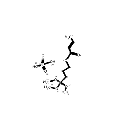 CC=CC(=O)OCCC[Si](OC)(OC)OC.O=S(=O)(O)O